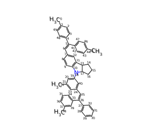 Cc1ccc(C(=Cc2ccc3c(c2)C2CCCC2N3c2cc(C)cc(/C=C(/c3ccccc3)c3cccc(C)c3)c2)c2ccc(C)cc2)cc1